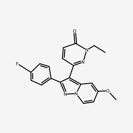 CCn1nc(-c2c(-c3ccc(F)cc3)nn3ccc(OC)cc23)ccc1=O